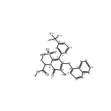 COC(=O)C1CNS(=O)(=O)c2c(-c3cccc(C(F)(F)F)c3)c(Cc3cccc4ccccc34)c(Br)c(=O)n21